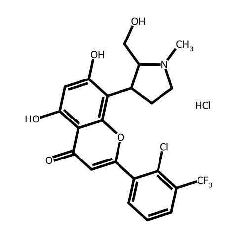 CN1CCC(c2c(O)cc(O)c3c(=O)cc(-c4cccc(C(F)(F)F)c4Cl)oc23)C1CO.Cl